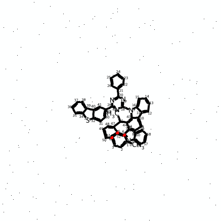 Cc1ccccc1-c1ccc2c3ccccc3n(-c3nc(-c4ccccc4)nc(-c4ccc5sc6ccccc6c5c4)n3)c2c1C(C)c1ccccc1-c1nc2ccccc2s1